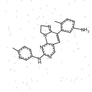 Cc1ccc(Nc2ncc3c(n2)N2CCN=C2C(c2cc(N)ccc2C)=C3)cn1